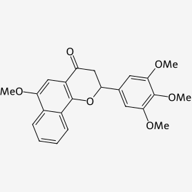 COc1cc(C2CC(=O)c3cc(OC)c4ccccc4c3O2)cc(OC)c1OC